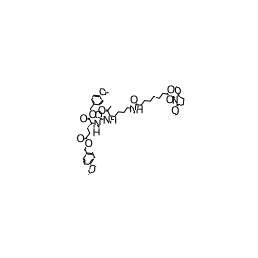 COc1ccc(COC(=O)CCC(NC(=O)NC(CCCCNC(=O)CCCCCCC(=O)ON2C(=O)CCC2=O)C(C)=O)C(=O)OCc2ccc(OC)cc2)cc1